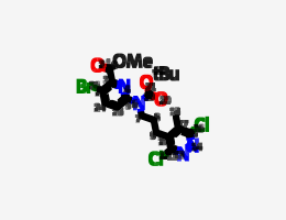 COC(=O)c1nc(N(CCCc2c(Cl)nnc(Cl)c2C)C(=O)OC(C)(C)C)ccc1Br